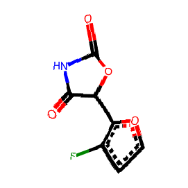 O=C1NC(=O)C(c2occc2F)O1